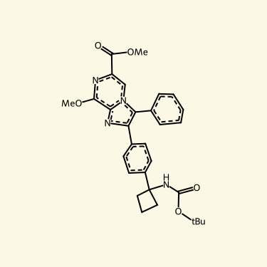 COC(=O)c1cn2c(-c3ccccc3)c(-c3ccc(C4(NC(=O)OC(C)(C)C)CCC4)cc3)nc2c(OC)n1